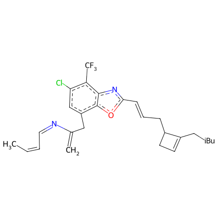 C=C(Cc1cc(Cl)c(C(F)(F)F)c2nc(/C=C/CC3CC=C3CC(C)CC)oc12)/N=C\C=C/C